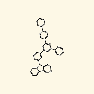 c1ccc(-c2ccc(-c3cc(-c4cccc(-n5c6ccccc6c6cnccc65)c4)cc(-c4ccccn4)n3)cc2)cc1